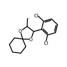 [CH2]C1OC2(CCCCC2)OC1c1c(Cl)cccc1Cl